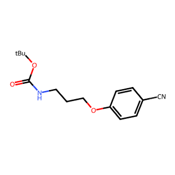 CC(C)(C)OC(=O)NCCCOc1ccc(C#N)cc1